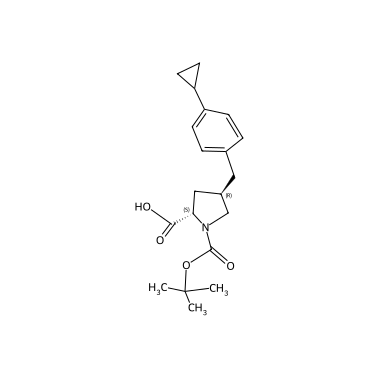 CC(C)(C)OC(=O)N1C[C@H](Cc2ccc(C3CC3)cc2)C[C@H]1C(=O)O